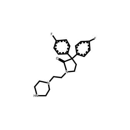 O=C1N(CCN2CCNCC2)CCC1(c1ccc(F)cc1)c1ccc(F)cc1